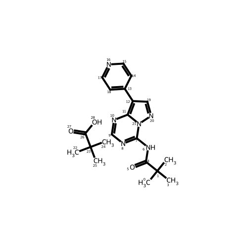 CC(C)(C)C(=O)Nc1ncnc2c(-c3ccncc3)cnn12.CC(C)(C)C(=O)O